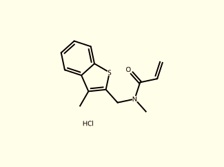 C=CC(=O)N(C)Cc1sc2ccccc2c1C.Cl